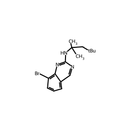 CC(C)(C)[CH]C(C)(C)Nc1ncc2cccc(Br)c2n1